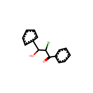 O=C(c1ccccc1)C(Br)C(O)c1ccccc1